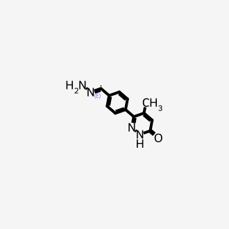 Cc1cc(=O)[nH]nc1-c1ccc(/[C]=N/N)cc1